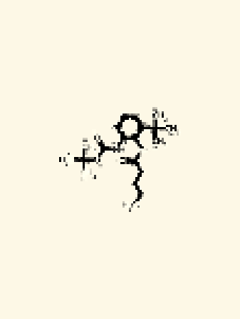 CCCCC(=O)Oc1c(NC(=O)OC(C)(C)C)cccc1C(C)(C)C